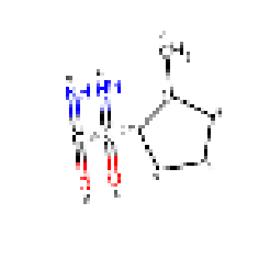 CC1CCCC1.N=C=O.N=C=O